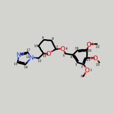 COc1cc(COC2CCCC(Cn3ccnc3)O2)cc(OC)c1OC